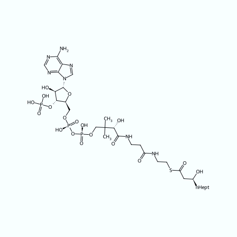 CCCCCCC[C@H](O)CC(=O)SCCNC(=O)CCNC(=O)[C@@H](O)C(C)(C)CO[P@@](=O)(O)O[P@](=O)(O)OC[C@@H]1O[C@@H](n2cnc3c(N)ncnc32)[C@H](O)[C@H]1OP(=O)(O)O